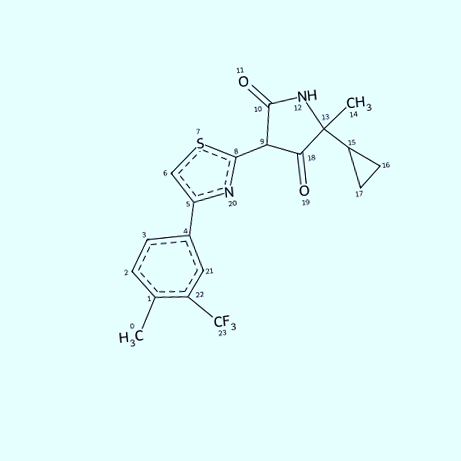 Cc1ccc(-c2csc(C3C(=O)NC(C)(C4CC4)C3=O)n2)cc1C(F)(F)F